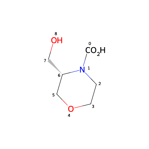 O=C(O)N1CCOC[C@@H]1CO